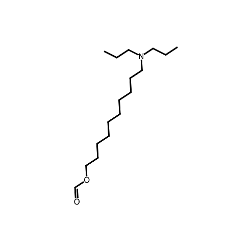 CCCN(CCC)CCCCCCCCCCOC=O